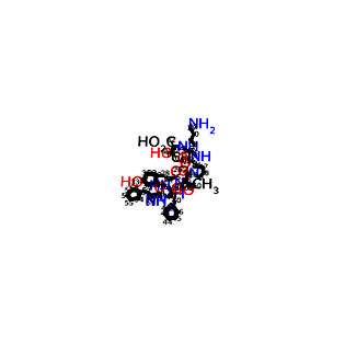 C[C@@H](O)[C@H](NC(=O)[C@H](CCCCN)NC(=O)[C@@H]1CCCN1C(=O)[C@@H](NC(=O)[C@H](Cc1ccc(O)cc1)NC(=O)[C@H](Cc1ccccc1)NC(=O)[C@@H](N)Cc1ccccc1)[C@@H](C)O)C(=O)O